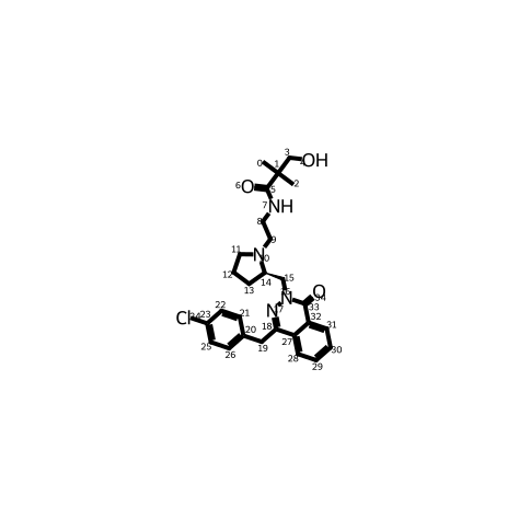 CC(C)(CO)C(=O)NCCN1CCC[C@@H]1Cn1nc(Cc2ccc(Cl)cc2)c2ccccc2c1=O